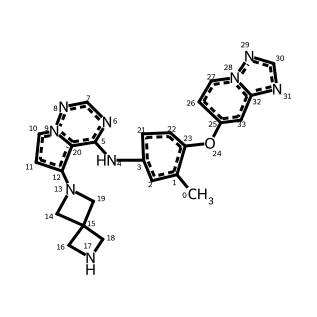 Cc1cc(Nc2ncnn3ccc(N4CC5(CNC5)C4)c23)ccc1Oc1ccn2ncnc2c1